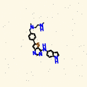 CNCCN(C)Cc1ccc(-c2cc3ncnc(Nc4ccc5[nH]ccc5c4)c3s2)cc1